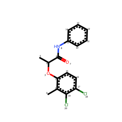 Cc1c(OC(C)C(=O)Nc2ccccc2)ccc(Cl)c1Cl